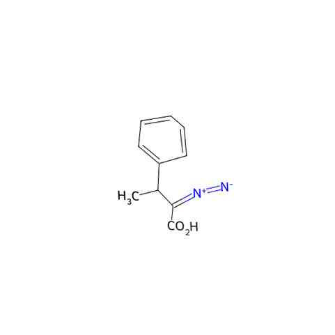 CC(C(=[N+]=[N-])C(=O)O)c1ccccc1